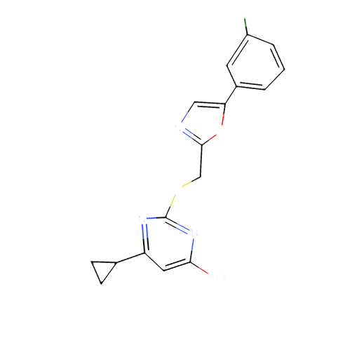 Oc1cc(C2CC2)nc(SCc2ncc(-c3cccc(Cl)c3)o2)n1